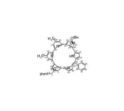 CCCC(C)Cc1cc2c(O)c(c1)-c1cc(C)cc(n1)-c1cc(C)cc(n1)-c1cc(C(C)(C)C)cc(c1O)-c1ccc([nH]1)/C(c1ccccc1)=C1/C=CC2=N1